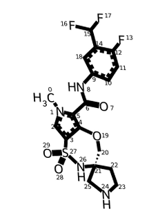 Cn1cc2c(c1C(=O)Nc1ccc(F)c(C(F)F)c1)OC[C@@]1(CCNC1)NS2(=O)=O